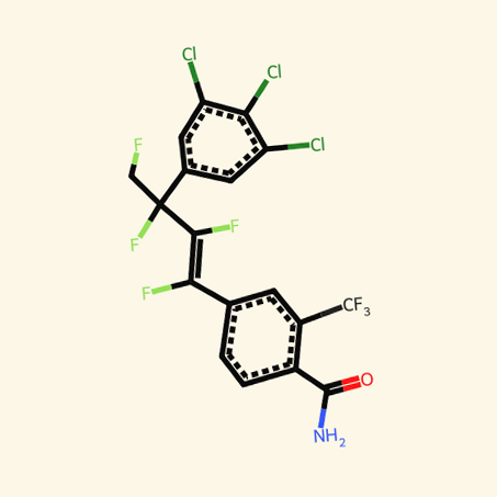 NC(=O)c1ccc(C(F)=C(F)C(F)(CF)c2cc(Cl)c(Cl)c(Cl)c2)cc1C(F)(F)F